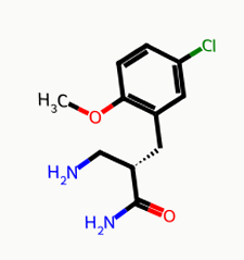 COc1ccc(Cl)cc1C[C@@H](CN)C(N)=O